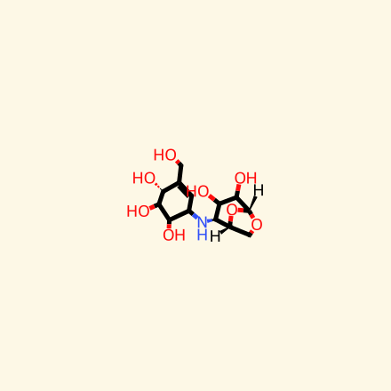 OCC1=CC(N[C@H]2C(O)C(O)[C@@H]3OC[C@H]2O3)C(O)C(O)[C@@H]1O